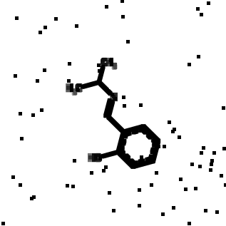 CC(C)N=Cc1ccccc1O